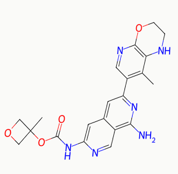 Cc1c(-c2cc3cc(NC(=O)OC4(C)COC4)ncc3c(N)n2)cnc2c1NCCO2